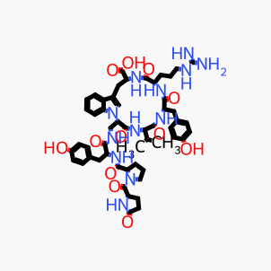 CC(C)C1NC(=O)C(CNC(=O)C(Cc2ccc(O)cc2)NC(=O)C2CCCN2C(=O)C2CCC(=O)N2)n2cc(c3ccccc32)CC(C(=O)O)NC(=O)C(CCCNC(=N)N)NC(=O)C(Cc2ccc(O)cc2)NC1=O